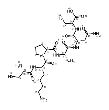 C[C@H](NC(=O)[C@@H]1CCCN1C(=O)[C@H](CCCCN)NC(=O)[C@@H](N)CS)C(=O)N[C@@H](CC(N)=O)C(=O)N[C@@H](CS)C(=O)O